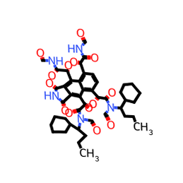 CCCC(C1CCCCC1)N(C=O)C(=O)C(=O)c1ccc(C(=O)C(=O)NC=O)c2c(C(=O)C(=O)NC=O)c3c(c(C(=O)C(=O)N(C=O)C(CCC)C4CCCCC4)c12)C(=O)NC3=O